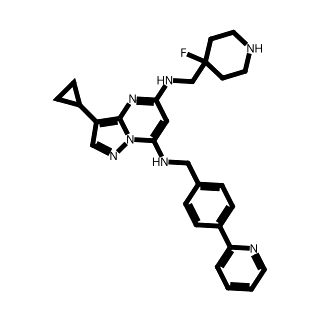 FC1(CNc2cc(NCc3ccc(-c4ccccn4)cc3)n3ncc(C4CC4)c3n2)CCNCC1